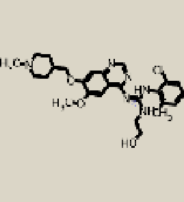 COc1cc2c(/N=C(/NCCO)Nc3c(C)cccc3Cl)ncnc2cc1OCC1CCN(C)CC1